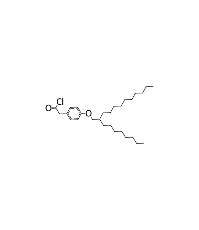 CCCCCCCCCCC(CCCCCCCC)COc1ccc(CC(=O)Cl)cc1